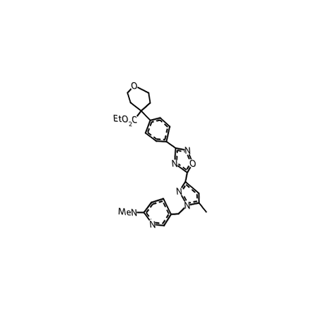 CCOC(=O)C1(c2ccc(-c3noc(-c4cc(C)n(Cc5ccc(NC)nc5)n4)n3)cc2)CCOCC1